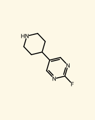 Fc1ncc(C2CCNCC2)cn1